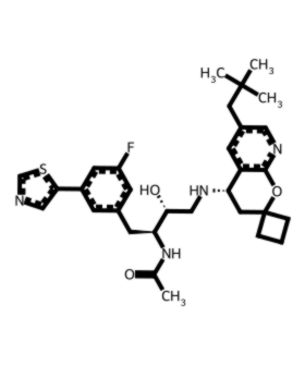 CC(=O)N[C@@H](Cc1cc(F)cc(-c2cncs2)c1)[C@H](O)CN[C@H]1CC2(CCC2)Oc2ncc(CC(C)(C)C)cc21